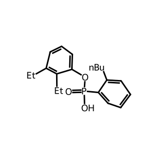 CCCCc1ccccc1P(=O)(O)Oc1cccc(CC)c1CC